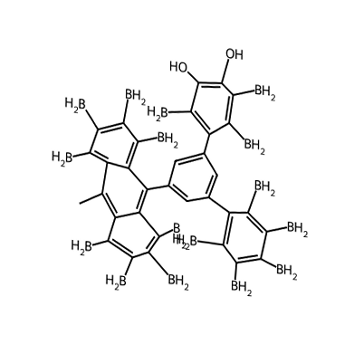 Bc1c(B)c(B)c(-c2cc(-c3c(B)c(B)c(O)c(O)c3B)cc(-c3c4c(B)c(B)c(B)c(B)c4c(C)c4c(B)c(B)c(B)c(B)c34)c2)c(B)c1B